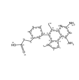 Cn1ccc2c3c(N)nc(N)nc3c(I)c(-c3cccc(CCC(=O)O)c3)c21